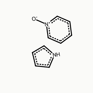 [O-][n+]1ccccc1.c1cc[nH]c1